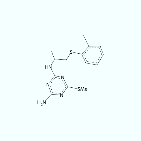 CSc1nc(N)nc(NC(C)CSc2ccccc2C)n1